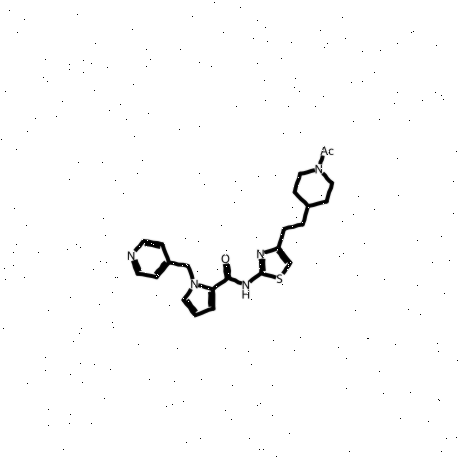 CC(=O)N1CCC(CCc2csc(NC(=O)c3cccn3Cc3ccncc3)n2)CC1